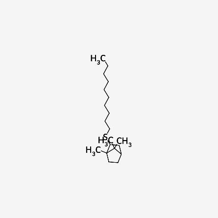 CCCCCCCCCCSC1CC2CCC1(C)C2(C)C